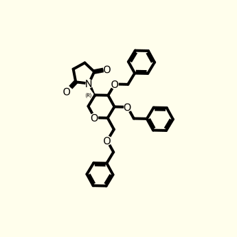 O=C1CCC(=O)N1[C@@H]1COC(COCc2ccccc2)C(OCc2ccccc2)C1OCc1ccccc1